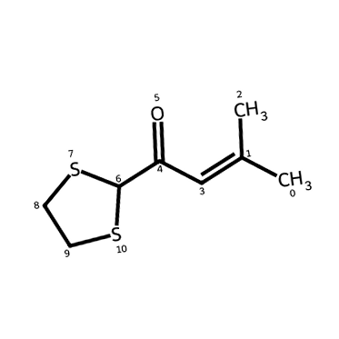 CC(C)=CC(=O)C1SCCS1